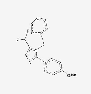 COc1ccc(-c2nsc(C(F)F)c2Cc2ccccc2)cc1